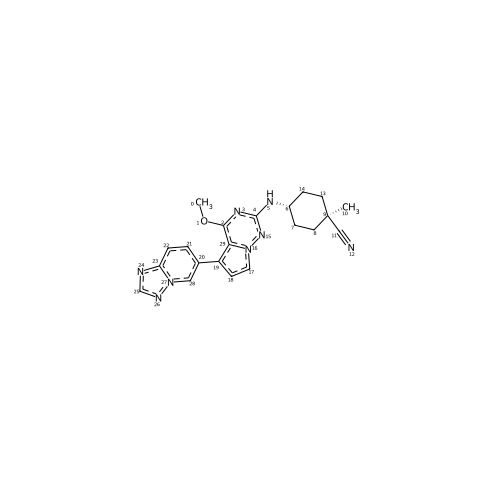 COc1nc(N[C@H]2CC[C@](C)(C#N)CC2)nn2ccc(-c3ccc4ncnn4c3)c12